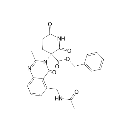 CC(=O)NCc1cccc2nc(C)n([C@]3(C(=O)OCc4ccccc4)CCC(=O)NC3=O)c(=O)c12